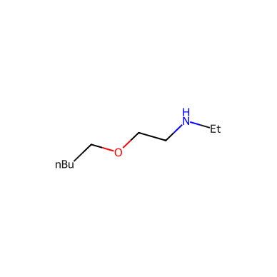 CCCCCOCCNCC